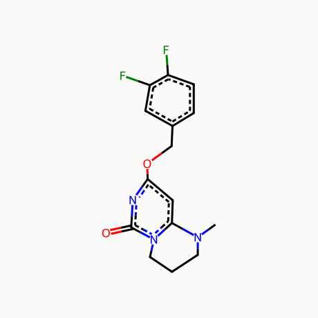 CN1CCCn2c1cc(OCc1ccc(F)c(F)c1)nc2=O